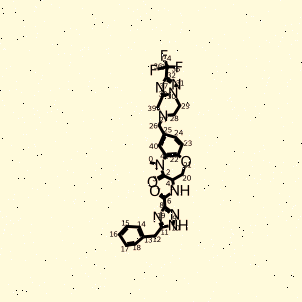 CN1C(=O)C(NC(=O)c2n[nH]c(Cc3ccccc3)n2)COc2ccc(CN3CCn4nc(C(F)(F)F)nc4C3)cc21